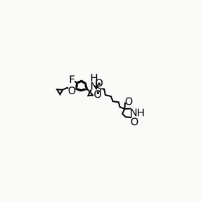 O=CC1(CCCCCCS(=O)(=O)NC2(c3ccc(F)c(OCC4CC4)c3)CC2)CCC(=O)NC1